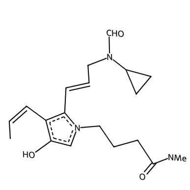 C/C=C\c1c(O)cn(CCCC(=O)NC)c1/C=C/CN(C=O)C1CC1